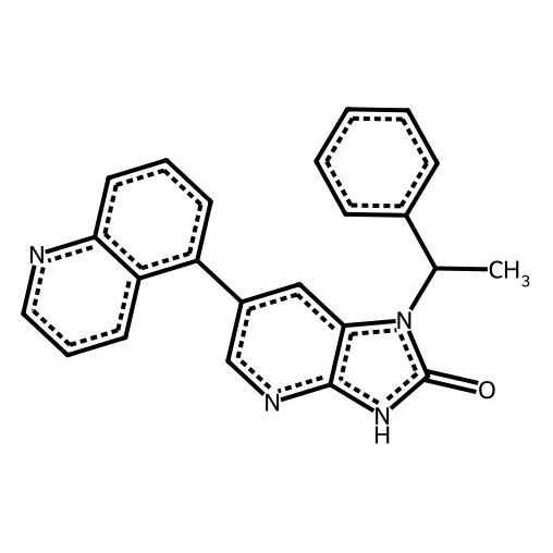 CC(c1ccccc1)n1c(=O)[nH]c2ncc(-c3cccc4ncccc34)cc21